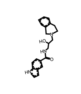 O=C(NCC(O)CN1CCc2ccccc2C1)c1ccc2[nH]ccc2c1